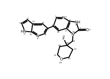 O=c1[nH]c2ncc(-c3cnc4[nH]ccc4c3)cc2n1CC1(F)CCOCC1